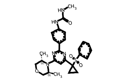 CNC(=O)Nc1ccc(-c2nc(N3[C@@H](C)COC[C@@H]3C)cc(C3(S(=O)(=O)c4ccccc4)CC3)n2)cc1